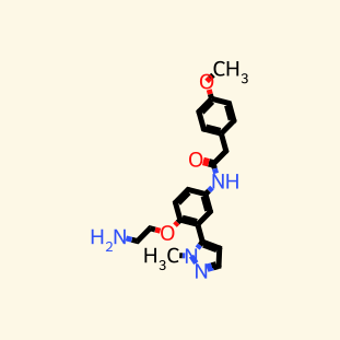 COc1ccc(CC(=O)Nc2ccc(OCCN)c(-c3ccnn3C)c2)cc1